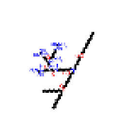 CCCCCCCCCCCOC(=O)CCCCCN(CCCCCCCC(=O)OC(CCCCCCCC)CCCCCCCC)CC(O)CCCCNC(=O)[C@H](CCCNC(=N)N)NC(=O)[C@H](CCCNC(=N)N)NC(=O)[C@H](N)CCCNC(=N)N